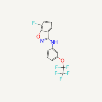 Fc1cccc2c(Nc3cccc(OC(F)(F)C(F)(F)F)c3)noc12